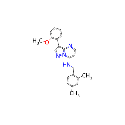 COc1ccccc1-c1cnn2c(NCc3ccc(C)cc3C)ccnc12